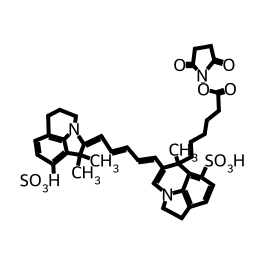 CC1(CCCCCC(=O)ON2C(=O)CCC2=O)C(/C=C/C=C/C=C2/N3CCCc4ccc(S(=O)(=O)O)c(c43)C2(C)C)=CN2CCc3ccc(S(=O)(=O)O)c1c32